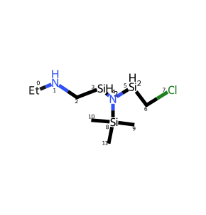 CCNC[SiH2]N([SiH2]CCl)[Si](C)(C)C